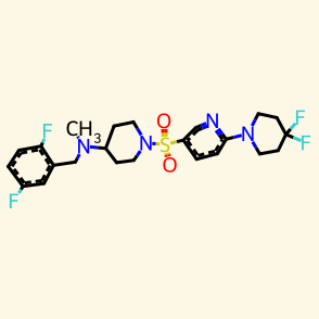 CN(Cc1cc(F)ccc1F)C1CCN(S(=O)(=O)c2ccc(N3CCC(F)(F)CC3)nc2)CC1